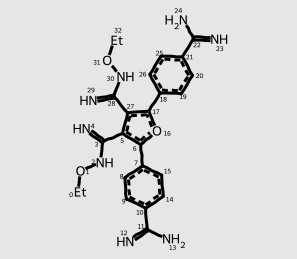 CCONC(=N)c1c(-c2ccc(C(=N)N)cc2)oc(-c2ccc(C(=N)N)cc2)c1C(=N)NOCC